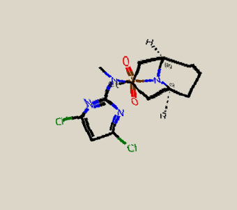 CCS(=O)(=O)N1[C@@H]2CCC[C@H]1CC(N(C)c1nc(Cl)cc(Cl)n1)C2